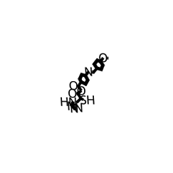 COc1ccc(C=Nc2ccc(C(=O)OC(=O)C(S)c3nnn[nH]3)cc2)cc1